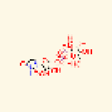 O=c1ccn([C@@H]2O[C@H](COP(=O)(O)OP(=O)(O)[C@H]3OC(CO)[C@H](O)C(O)C3O)C(O)C2O)c(=O)[nH]1